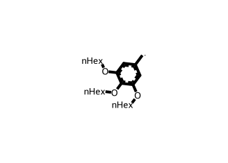 [CH2]c1cc(OCCCCCC)c(OCCCCCC)c(OCCCCCC)c1